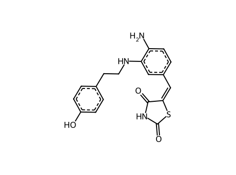 Nc1ccc(C=C2SC(=O)NC2=O)cc1NCCc1ccc(O)cc1